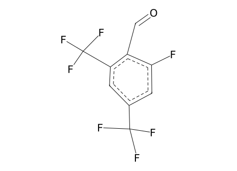 O=Cc1c(F)cc(C(F)(F)F)cc1C(F)(F)F